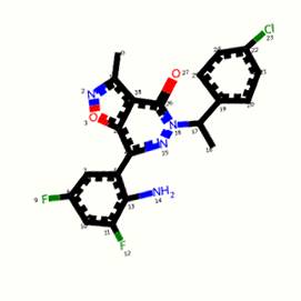 Cc1noc2c(-c3cc(F)cc(F)c3N)nn(C(C)c3ccc(Cl)cc3)c(=O)c12